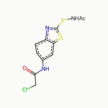 CC(=O)NSc1nc2ccc(NC(=O)CCl)cc2s1